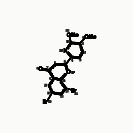 COc1ccc(-c2cc(=O)c3cc(Br)cc(Br)c3o2)nc1OC